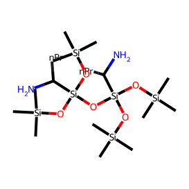 CCCC(N)[Si](O[Si](C)(C)C)(O[Si](C)(C)C)O[Si](O[Si](C)(C)C)(O[Si](C)(C)C)C(N)CCC